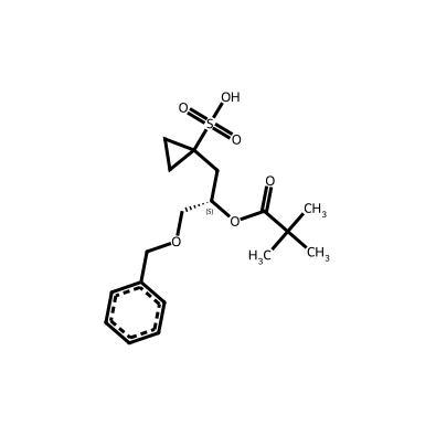 CC(C)(C)C(=O)O[C@H](COCc1ccccc1)CC1(S(=O)(=O)O)CC1